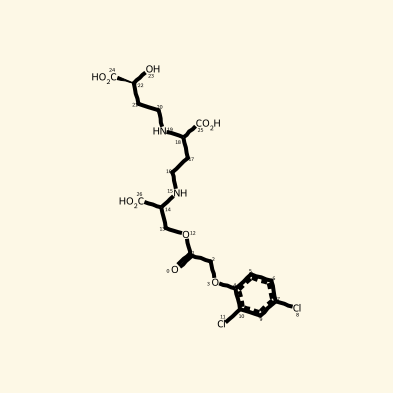 O=C(COc1ccc(Cl)cc1Cl)OCC(NCCC(NCC[C@H](O)C(=O)O)C(=O)O)C(=O)O